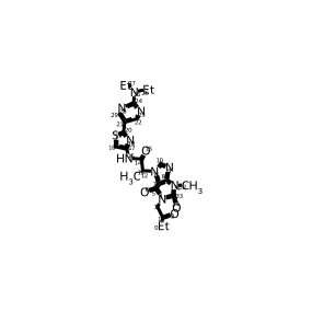 CCC(=O)Cn1c(=O)c2c(ncn2[C@@H](C)C(=O)Nc2csc(-c3cnc(N(CC)CC)nc3)n2)n(C)c1=O